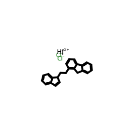 C1=CC(CCc2cccc3c2Cc2ccccc2-3)c2ccccc21.[Cl-].[Cl-].[Hf+2]